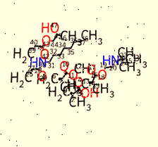 C=C(C)C(=O)O.C=C(C)C(=O)OC.C=C(C)C(=O)OCCNC(C)(C)C.C=CC(=O)NCCCCCCCC.C=CC(=O)OCC(C)O